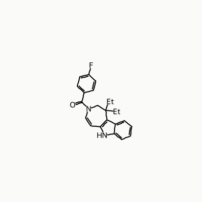 CCC1(CC)CN(C(=O)c2ccc(F)cc2)C=Cc2[nH]c3ccccc3c21